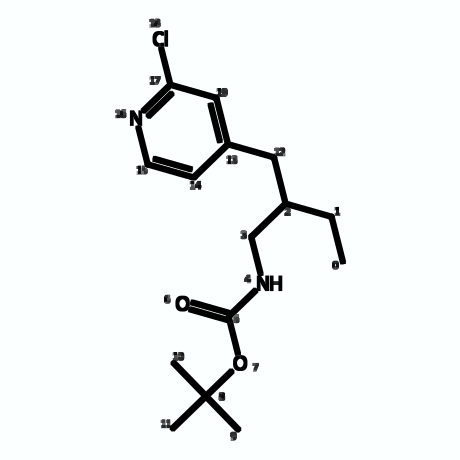 CCC(CNC(=O)OC(C)(C)C)Cc1ccnc(Cl)c1